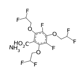 N.O=C(O)c1c(OCC(F)F)c(F)c(OCC(F)F)c(F)c1OCC(F)F